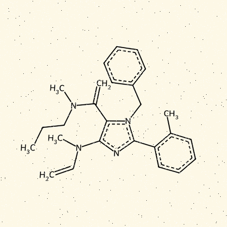 C=CN(C)c1nc(-c2ccccc2C)n(Cc2ccccc2)c1C(=C)N(C)CCC